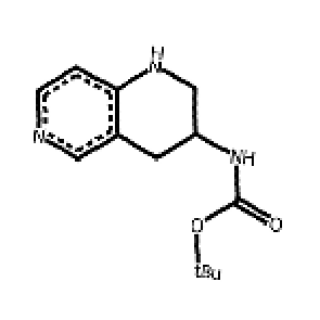 CC(C)(C)OC(=O)NC1CNc2ccncc2C1